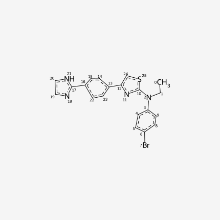 CCN(c1ccc(Br)cc1)c1nc(-c2ccc(-c3ncc[nH]3)cc2)cs1